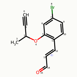 C#CC(C)Oc1cc(Br)ccc1/C=C/C=O